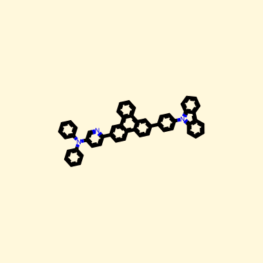 c1ccc(N(c2ccccc2)c2ccc(-c3ccc4c5ccc(-c6ccc(-n7c8ccccc8c8ccccc87)cc6)cc5c5ccccc5c4c3)nc2)cc1